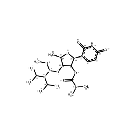 COP(O[C@@H]1C(OC(=S)N(C)C)[C@H](n2ccc(=O)[nH]c2=O)O[C@@H]1C)N(C(C)C)C(C)C